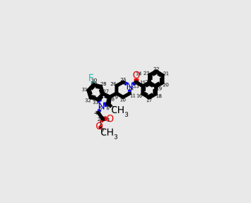 COC(=O)Cn1c(C)c(C2CCN(C(=O)c3cccc4ccccc34)CC2)c2cc(F)ccc21